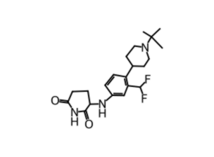 CC(C)(C)N1CCC(c2ccc(NC3CCC(=O)NC3=O)cc2C(F)F)CC1